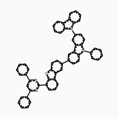 c1ccc(-c2cc(-c3ccccc3)nc(-c3cccc4c3oc3ccc(-c5ccc6c(c5)c5cc(-n7c8ccccc8c8ccccc87)ccc5n6-c5ccccc5)cc34)n2)cc1